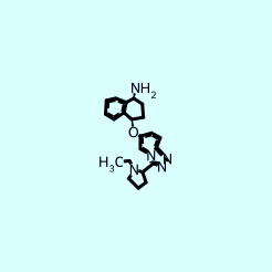 CCN1CCCC1c1nnc2ccc(O[C@@H]3CC[C@H](N)c4ccccc43)cn12